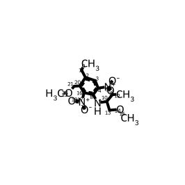 CCc1cc([N+](=O)[O-])c(NC(CC)COC)c([N+](=O)[O-])c1COC